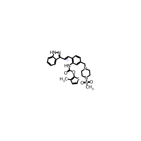 Cc1ccsc1OC(=O)Nc1cc(CN2CCN(S(C)(=O)=O)CC2)ccc1/C=C/c1n[nH]c2ccccc12